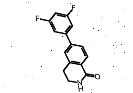 O=C1NCCc2cc(-c3cc(F)cc(F)c3)ccc21